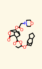 CCC(OC(=O)C1C2CC3C(OC(=O)C31)C2OC(=O)CN1CCOCC1)OC1CC2CC1C1CCCC21